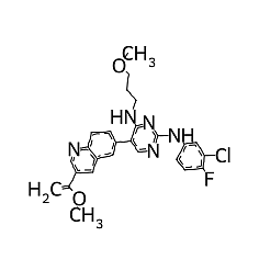 C=C(OC)c1cnc2ccc(-c3cnc(Nc4ccc(F)c(Cl)c4)nc3NCCCOC)cc2c1